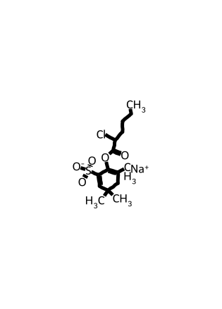 CCCCC(Cl)C(=O)OC1=C(C)CC(C)(C)C=C1S(=O)(=O)[O-].[Na+]